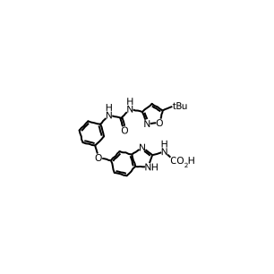 CC(C)(C)c1cc(NC(=O)Nc2cccc(Oc3ccc4[nH]c(NC(=O)O)nc4c3)c2)no1